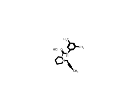 CC#CCN1CCCC[C@H]1C(=O)Nc1cc(C)cc(C)c1.Cl